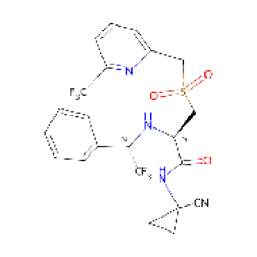 N#CC1(NC(=O)[C@H](CS(=O)(=O)Cc2cccc(C(F)(F)F)n2)N[C@@H](c2ccccc2)C(F)(F)F)CC1